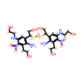 Nc1c(C(CO)SOSC(CO)c2cc(NCCO)c([N+](=O)[O-])c(CCO)c2N)cc(NCCO)c([N+](=O)[O-])c1CCO